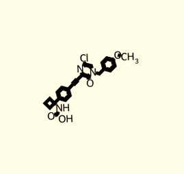 COc1ccc(Cn2cc(Cl)nc(C#Cc3ccc(C4(NC(=O)O)CCC4)cc3)c2=O)cc1